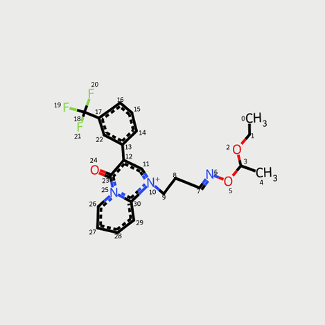 CCOC(C)ON=CCC[n+]1cc(-c2cccc(C(F)(F)F)c2)c(=O)n2ccccc21